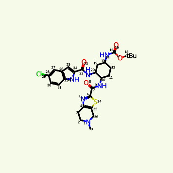 CN1CCc2nc(C(=O)NC3CCC(NC(=O)OC(C)(C)C)CC3NC(=O)c3cc4cc(Cl)ccc4[nH]3)sc2C1